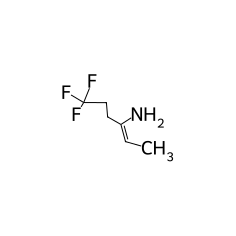 C/C=C(\N)CCC(F)(F)F